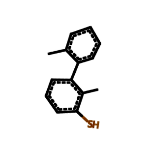 Cc1ccccc1-c1cccc(S)c1C